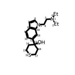 CCN(CC)CCn1ccc2ccc(C3(O)CCSCC3)cc21